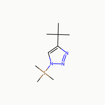 CC(C)(C)c1cn(S(C)(C)C)nn1